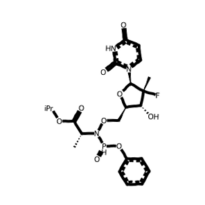 CC(C)OC(=O)[C@@H](C)N(OC[C@H]1O[C@@H](n2ccc(=O)[nH]c2=O)[C@](C)(F)[C@@H]1O)[PH](=O)Oc1ccccc1